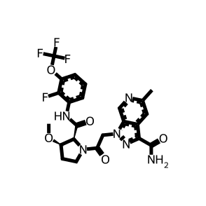 CO[C@@H]1CCN(C(=O)Cn2nc(C(N)=O)c3cc(C)ncc32)[C@@H]1C(=O)Nc1cccc(OC(F)(F)F)c1F